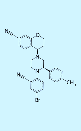 Cc1ccc([C@@H]2CN([C@@H]3CCOc4cc(C#N)ccc43)CCN2c2ccc(Br)cc2C#N)cc1